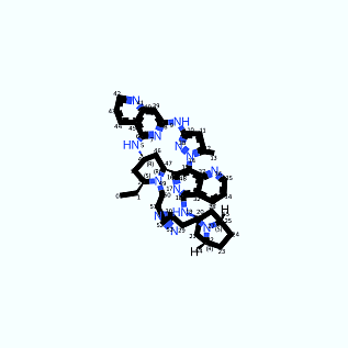 CC[C@H]1C[C@H](Nc2nc(Nc3cc(C)n(-c4cnc(N[C@@H]5C[C@H]6CC[C@@H](C5)N6CCC#N)c5cccnc45)n3)cc3ncccc23)C[C@@H](C)N1CCC#N